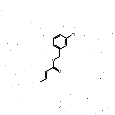 C/C=C/C(=O)OCc1cccc(Cl)c1